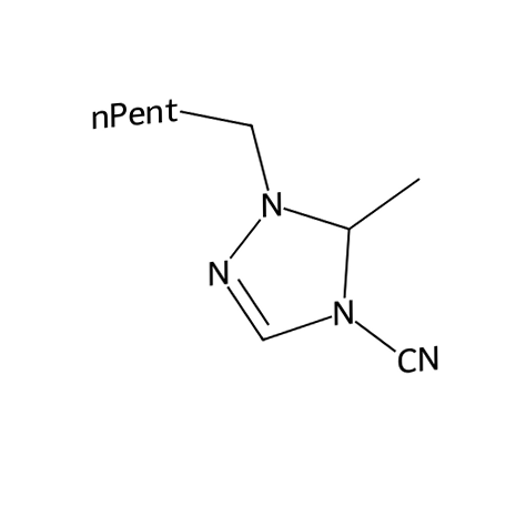 CCCCCCN1N=CN(C#N)C1C